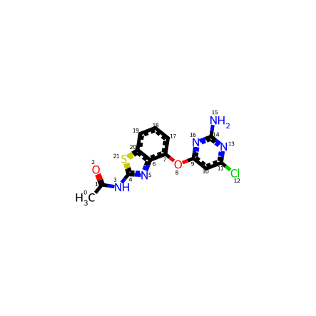 CC(=O)Nc1nc2c(Oc3cc(Cl)nc(N)n3)cccc2s1